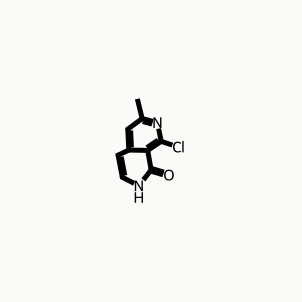 Cc1cc2cc[nH]c(=O)c2c(Cl)n1